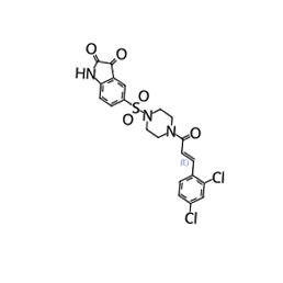 O=C1Nc2ccc(S(=O)(=O)N3CCN(C(=O)/C=C/c4ccc(Cl)cc4Cl)CC3)cc2C1=O